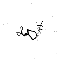 COC(=O)C=C1CC[C@H](O[Si](C)(C)C(C)(C)C)[C@H](C)C1